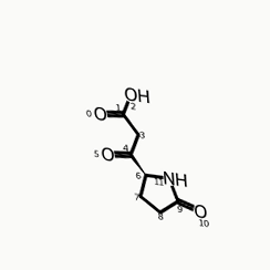 O=C(O)CC(=O)[C@@H]1CCC(=O)N1